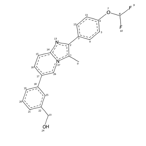 Cc1c(-c2ccc(OC(F)F)cc2)nc2ccc(-c3cccc(CO)c3)cn12